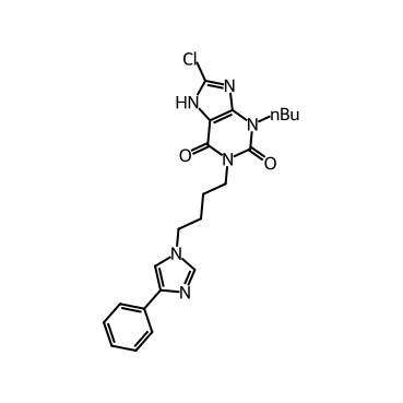 CCCCn1c(=O)n(CCCCn2cnc(-c3ccccc3)c2)c(=O)c2[nH]c(Cl)nc21